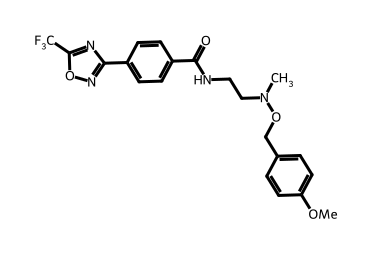 COc1ccc(CON(C)CCNC(=O)c2ccc(-c3noc(C(F)(F)F)n3)cc2)cc1